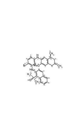 COc1cc2c(cc1Nc1ncc(Br)c(Nc3ccc4nccnc4c3P(C)(C)=O)n1)[C@@H](C)CN(C)C2